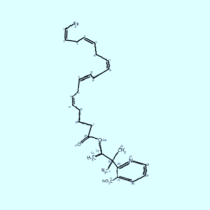 CC/C=C\C/C=C\C/C=C\C/C=C\C/C=C\CCCC(=O)OC(C)C(C)(C)c1ncccc1C(=O)O